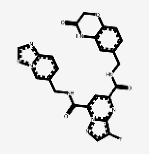 O=C1COc2ccc(CNC(=O)c3cc(C(=O)NCc4ccc5ncnn5c4)n4ncc(F)c4n3)cc2N1